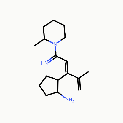 C=C(C)/C(=C/C(=N)N1CCCCC1C)C1CCCC1N